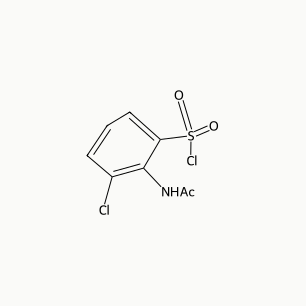 CC(=O)Nc1c(Cl)cccc1S(=O)(=O)Cl